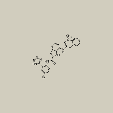 COc1ccccc1CC(=O)Nc1cccc2cc(C(=O)Nc3ccc(Br)cc3-c3nnn[nH]3)[nH]c12